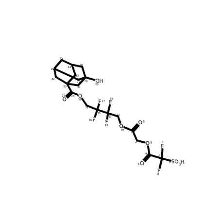 O=C(COC(=O)C(F)(F)S(=O)(=O)O)OCC(F)(F)C(F)(F)COC(=O)C12CC3CC(CC(O)(C3)C1)C2